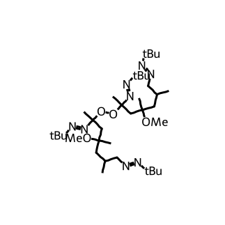 COC(C)(CC(C)CN=NC(C)(C)C)CC(C)(N=NC(C)(C)C)OOC(C)(CC(C)(CC(C)CN=NC(C)(C)C)OC)N=NC(C)(C)C